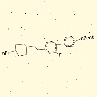 CCCCCc1ccc(-c2ccc(CCC3CCC(CCC)CC3)cc2F)cc1